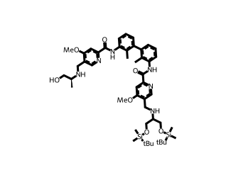 COc1cc(C(=O)Nc2cccc(-c3cccc(NC(=O)c4cc(OC)c(CN[C@@H](C)CO)cn4)c3C)c2C)ncc1CNC(CO[Si](C)(C)C(C)(C)C)CO[Si](C)(C)C(C)(C)C